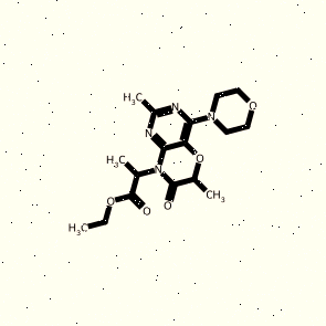 CCOC(=O)C(C)N1C(=O)C(C)Oc2c(N3CCOCC3)nc(C)nc21